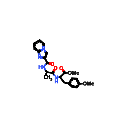 COC(=O)C(Cc1ccc(OC)cc1)NC(=O)C(C)NC(=O)c1cn2ccccc2n1